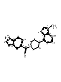 Cn1cnc2c(C3CCN(C(=O)c4ccc5[nH]ccc5c4)CC3)ccnc21